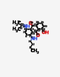 CCCCNc1ccc(NC(C)C)c2c1C(=O)c1c(O)cccc1C2=O